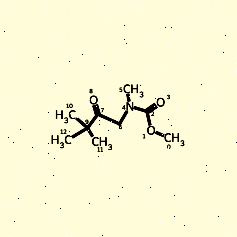 COC(=O)N(C)CC(=O)C(C)(C)C